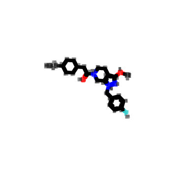 CCOc1nn(Cc2ccc(F)cc2)c2c1CCN(C(=O)CC1CCC(C(=O)O)CC1)C2